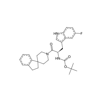 CC(C)(C)OC(=O)N[C@H](Cc1c[nH]c2ccc(F)cc12)C(=O)N1CCC2(CCc3ccccc32)CC1